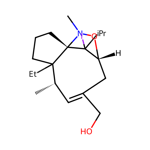 CCC12CCC[C@]13N(C)O[C@H](C/C(CO)=C\[C@@H]2C)C3(I)C(C)C